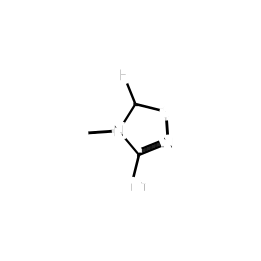 CC(C)C1=NSC(F)N1C